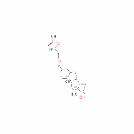 Cc1cnc(CCON=C2CC[C@@]3(C)C(CCC4C3CC[C@@]3(C)C4CC[C@@H]3O)C2)o1